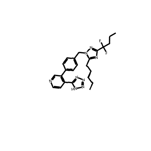 CCCCCc1nc(C(F)(F)CCC)nn1Cc1ccc(-c2cnccc2-c2nnn[nH]2)cc1